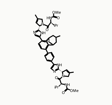 COC(=O)N[C@H](C(=O)N1CC(C)=C[C@H]1c1ncc(-c2ccc(-c3ccc(-c4cnc([C@@H]5C=C(C)CN5C(=O)[C@@H](NC(=O)OC)C(C)C)[nH]4)c4c3C3CC(C)CC4N3)cc2)[nH]1)C(C)C